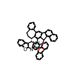 c1ccc2c(c1)CC[C@@H](C1NC(n3c4ccccc4c4ccccc43)=Nc3oc4ccccc4c31)c1c-2cc2c3c1-c1ccccc1CC3c1c-2ccc2ccccc12